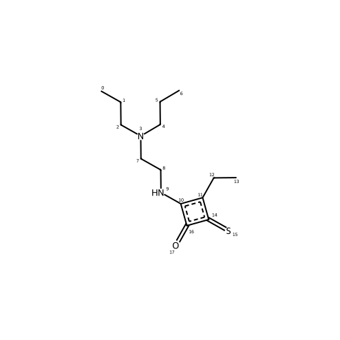 CCCN(CCC)CCNc1c(CC)c(=S)c1=O